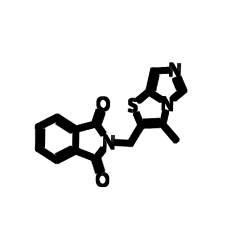 Cc1c(CN2C(=O)c3ccccc3C2=O)sc2cncn12